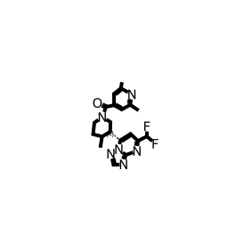 Cc1cc(C(=O)N2CCC(C)[C@@H](c3cc(C(F)F)nc4ncnn34)C2)cc(C)n1